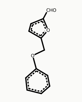 O=Cc1ccc(COc2ccccc2)o1